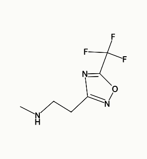 CNCCc1noc(C(F)(F)F)n1